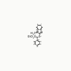 CCOC(=O)C(Sc1nc2ccccc2n1C)c1ccccc1